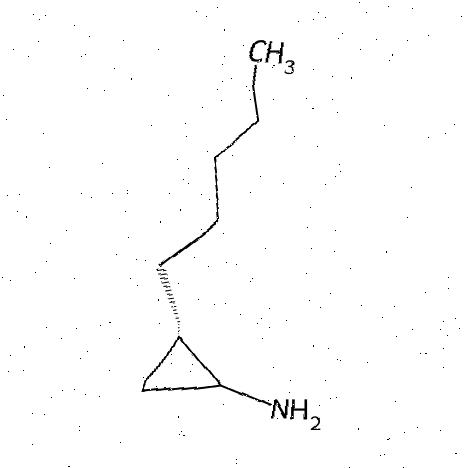 CCCCC[C@H]1CC1N